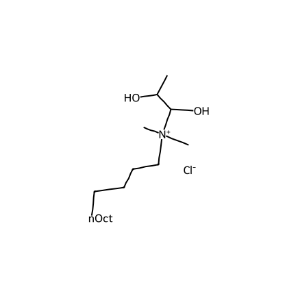 CCCCCCCCCCCC[N+](C)(C)C(O)C(C)O.[Cl-]